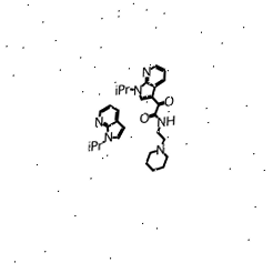 CC(C)n1cc(C(=O)C(=O)NCCN2CCCCC2)c2cccnc21.CC(C)n1ccc2cccnc21